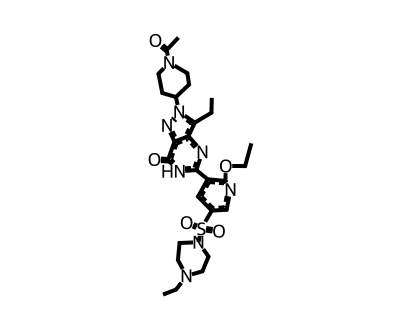 CCOc1ncc(S(=O)(=O)N2CCN(CC)CC2)cc1-c1nc2c(CC)n(C3CCN(C(C)=O)CC3)nc2c(=O)[nH]1